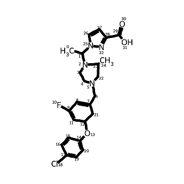 CC(N1CCN(CC2=CC(F)=CC(Oc3ccc(Cl)cc3)C2)C[C@@H]1C)n1ccc(C(=O)O)n1